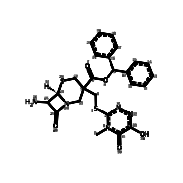 Cn1c(SCC2(C(=O)OC(c3ccccc3)c3ccccc3)CS[C@@H]3C(N)C(=O)N3C2)nnc(O)c1=O